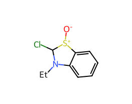 CCN1c2ccccc2[S+]([O-])C1Cl